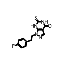 O=c1[nH]c(=S)[nH]c2c1cnn2CCc1ccc(F)cc1